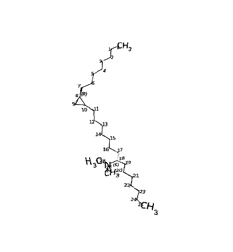 CCCCCCCC[C@@H]1CC1CCCCCCC[C@H](CCCCCCC)N(C)C